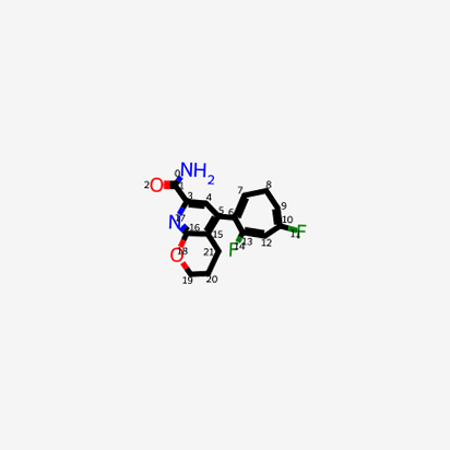 NC(=O)c1cc(C2=CCC=C(F)C=C2F)c2c(n1)OCCC2